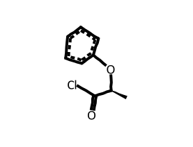 C[C@H](Oc1ccccc1)C(=O)Cl